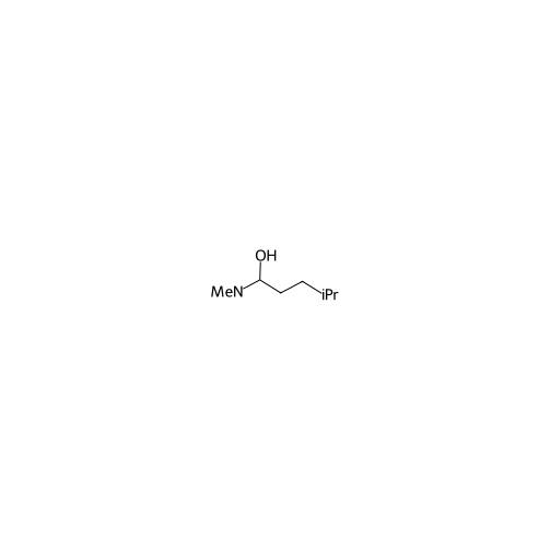 CNC(O)CCC(C)C